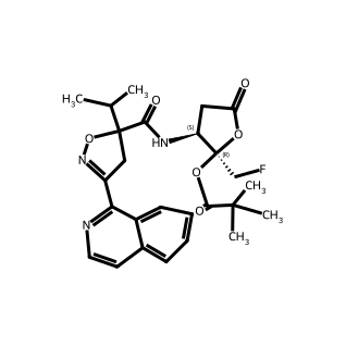 CC(C)C1(C(=O)N[C@H]2CC(=O)O[C@@]2(CF)OC(=O)C(C)(C)C)CC(c2nccc3ccccc23)=NO1